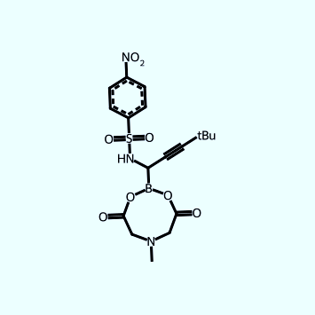 CN1CC(=O)OB(C(C#CC(C)(C)C)NS(=O)(=O)c2ccc([N+](=O)[O-])cc2)OC(=O)C1